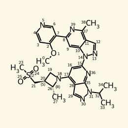 COc1ccncc1-c1cc2c(cnn2-c2cc(N3C[C@H](CS(C)(=O)=O)[C@H]3C)c3cnn(C(C)C)c3n2)c(C)n1